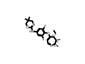 CC[C@H]1C(Oc2c(F)cc(NC3=NCC(C)(C)CO3)cc2F)=CC=N[C@H](C)[C@@H]1C